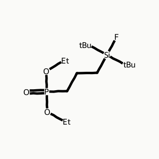 CCOP(=O)(CCC[Si](F)(C(C)(C)C)C(C)(C)C)OCC